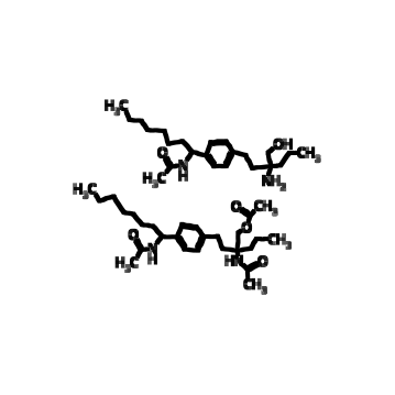 CCCCCCCC(NC(C)=O)c1ccc(CCC(CCC)(COC(C)=O)NC(C)=O)cc1.CCCCCCCC(NC(C)=O)c1ccc(CCC(N)(CO)CCC)cc1